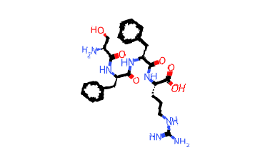 N=C(N)NCCC[C@H](NC(=O)[C@H](Cc1ccccc1)NC(=O)[C@@H](Cc1ccccc1)NC(=O)[C@@H](N)CO)C(=O)O